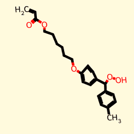 C=CC(=O)OCCCCCCOc1ccc(C(OO)c2ccc(C)cc2)cc1